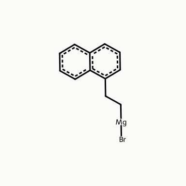 [Br][Mg][CH2]Cc1cccc2ccccc12